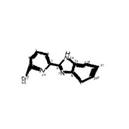 CCc1cccc(-c2nc3ccccc3[nH]2)n1